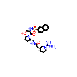 N=C(N)N1CCC[C@@H](CC(=O)NC[C@@H]2CCCN2C(=O)C(CO)NS(=O)(=O)c2ccc3ccccc3c2)C1